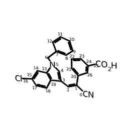 N#CC(=Cc1cn(Cc2ccccc2)c2cc(Cl)ccc12)c1cccc(C(=O)O)c1